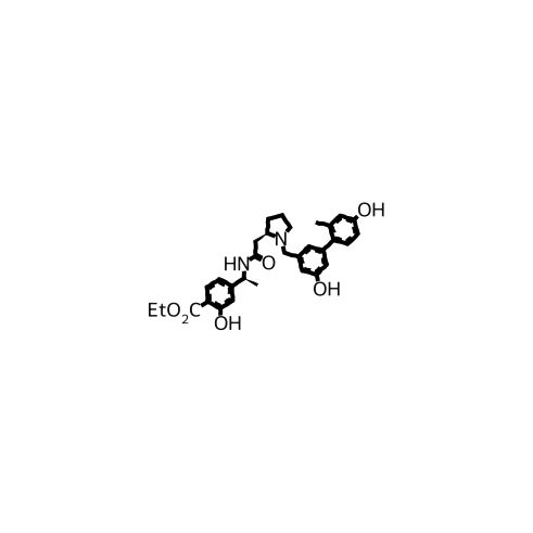 CCOC(=O)c1ccc([C@H](C)NC(=O)C[C@H]2CCCN2Cc2cc(O)cc(-c3ccc(O)cc3C)c2)cc1O